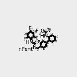 CCCCCN(Cc1ccc(-c2ccccc2NC(=O)C(F)(F)F)cc1)C(=O)Nc1c(F)cc(F)cc1F